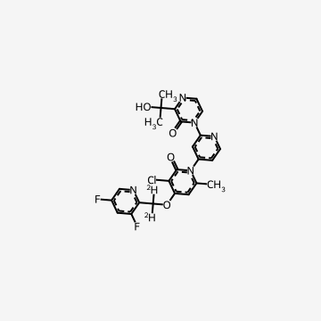 [2H]C([2H])(Oc1cc(C)n(-c2ccnc(-n3ccnc(C(C)(C)O)c3=O)c2)c(=O)c1Cl)c1ncc(F)cc1F